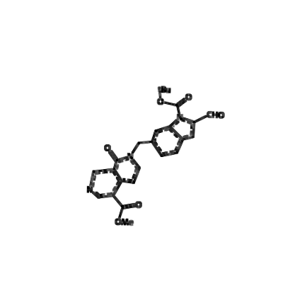 COC(=O)c1cncc2c(=O)n(Cc3ccc4cc(C=O)n(C(=O)OC(C)(C)C)c4c3)ccc12